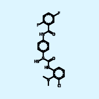 CN(C)c1c(Cl)cccc1NC(=O)N(S)c1ccc(NC(=O)c2cc(F)ccc2F)cc1